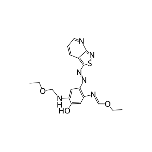 CCOC=Nc1cc(O)c(NCOCC)cc1/N=N/c1snc2ncccc12